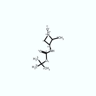 CC1[C@@H](NC(=O)OC(C)(C)C)C[NH+]1[O-]